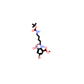 COC(=O)c1cc(Br)cc([N+](=O)[O-])c1N[C@@H](C)CCCCNC(=O)OC(C)(C)C